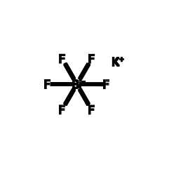 [F][Bi-]([F])([F])([F])([F])[F].[K+]